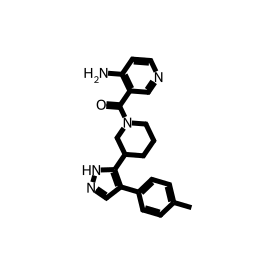 Cc1ccc(-c2cn[nH]c2C2CCCN(C(=O)c3cnccc3N)C2)cc1